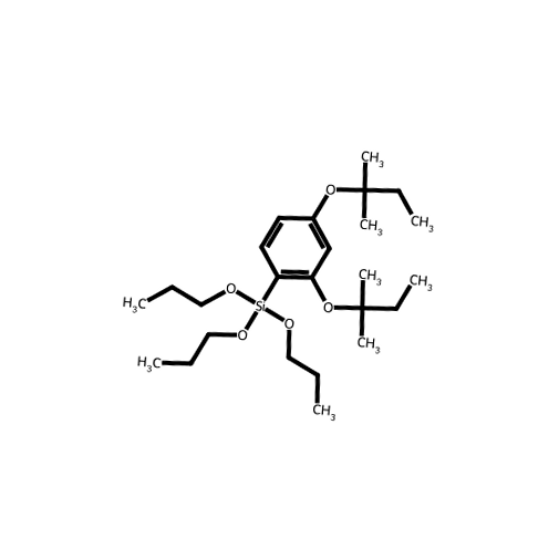 CCCO[Si](OCCC)(OCCC)c1ccc(OC(C)(C)CC)cc1OC(C)(C)CC